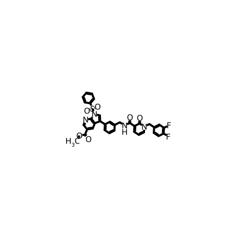 COC(=O)c1cnc2c(c1)c(-c1cccc(CNC(=O)c3cccn(Cc4ccc(F)c(F)c4)c3=O)c1)cn2S(=O)(=O)c1ccccc1